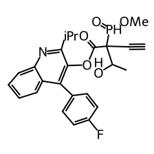 C#CC(C(=O)Oc1c(C(C)C)nc2ccccc2c1-c1ccc(F)cc1)(C(C)O)[PH](=O)OC